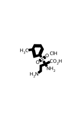 Cc1cccc(S(=O)(=O)C(N)(CCN)C(=O)O)c1.Cl